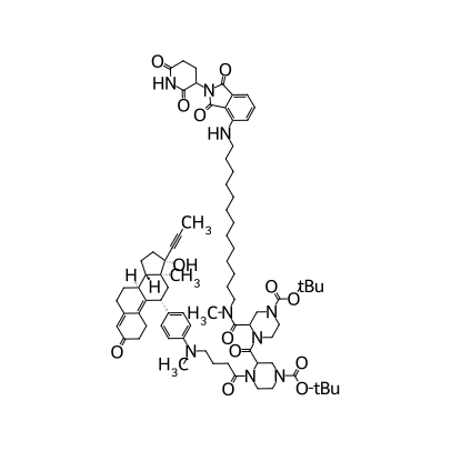 CC#C[C@]1(O)CC[C@H]2[C@@H]3CCC4=CC(=O)CCC4=C3[C@@H](c3ccc(N(C)CCCC(=O)N4CCN(C(=O)OC(C)(C)C)CC4C(=O)N4CCN(C(=O)OC(C)(C)C)CC4C(=O)N(C)CCCCCCCCCCCCCNc4cccc5c4C(=O)N(C4CCC(=O)NC4=O)C5=O)cc3)C[C@@]21C